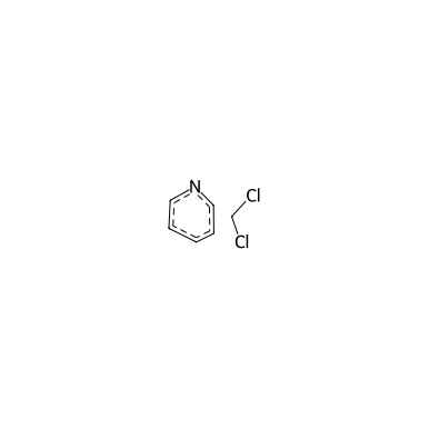 ClCCl.c1ccncc1